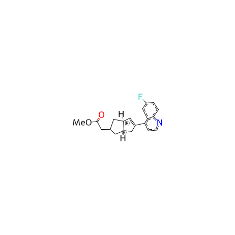 COC(=O)CC1C[C@@H]2CC(c3ccnc4ccc(F)cc34)=C[C@@H]2C1